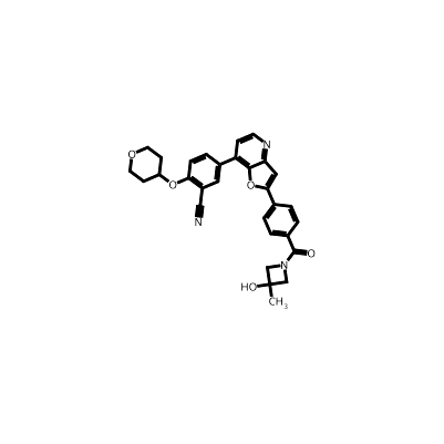 CC1(O)CN(C(=O)c2ccc(-c3cc4nccc(-c5ccc(OC6CCOCC6)c(C#N)c5)c4o3)cc2)C1